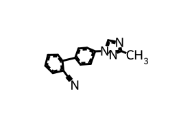 Cc1ncn(-c2ccc(-c3ccccc3C#N)cc2)n1